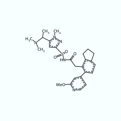 COc1cc(-c2ccc3c(c2CC(=O)NS(=O)(=O)c2cc(C(C)N(C)C)n(C)n2)CCC3)ccn1